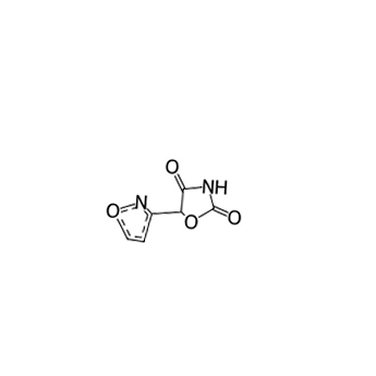 O=C1NC(=O)C(c2ccon2)O1